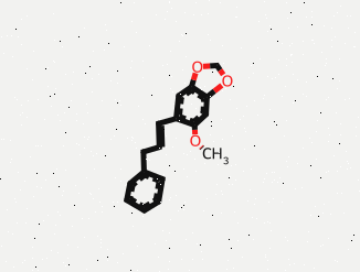 COc1cc2c(cc1/C=C/Cc1ccccc1)OCO2